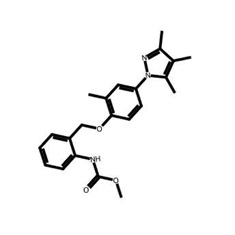 COC(=O)Nc1ccccc1COc1ccc(-n2nc(C)c(C)c2C)cc1C